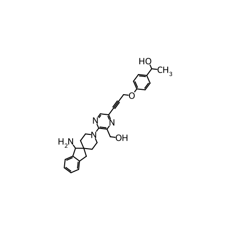 CC(O)c1ccc(OCC#Cc2cnc(N3CCC4(CC3)Cc3ccccc3C4N)c(CO)n2)cc1